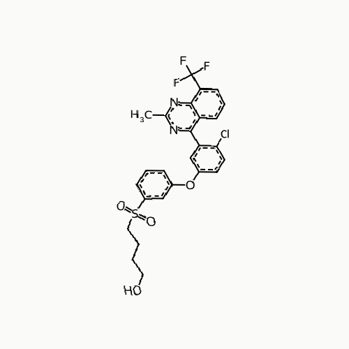 Cc1nc(-c2cc(Oc3cccc(S(=O)(=O)CCCCO)c3)ccc2Cl)c2cccc(C(F)(F)F)c2n1